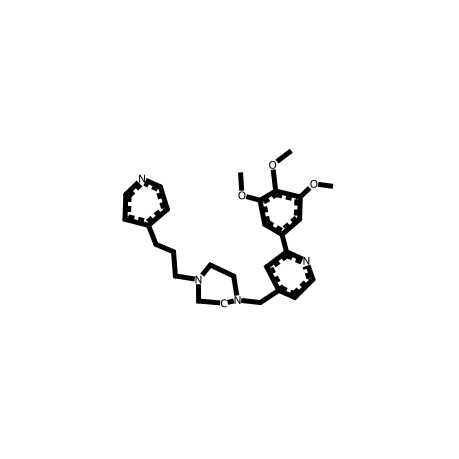 COc1cc(-c2cc(CN3CCN(CCCc4ccncc4)CC3)ccn2)cc(OC)c1OC